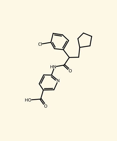 O=C(O)c1ccc(NC(=O)C(CC2CCCC2)c2cccc(Cl)c2)nc1